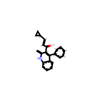 C=C1Nc2ccccc2C(c2ccccc2)=C1C(=O)/C=C/C1CC1